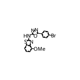 COc1cccc2sc(Nc3nnc(-c4ccc(Br)cc4)o3)nc12